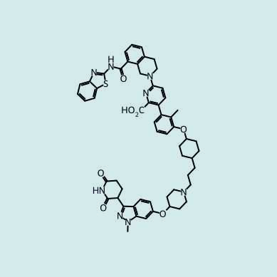 Cc1c(OC2CCC(CCCN3CCC(Oc4ccc5c(C6CCC(=O)NC6=O)nn(C)c5c4)CC3)CC2)cccc1-c1ccc(N2CCc3cccc(C(=O)Nc4nc5ccccc5s4)c3C2)nc1C(=O)O